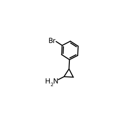 NC1CC1c1cccc(Br)c1